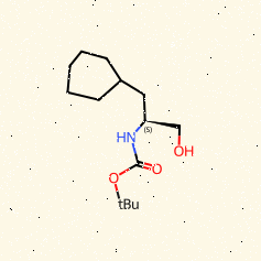 CC(C)(C)OC(=O)N[C@H](CO)CC1CCCCC1